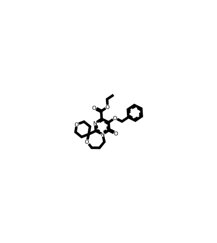 CCOC(=O)c1nc2n(c(=O)c1OCc1ccccc1)CCCOC21CCOCC1